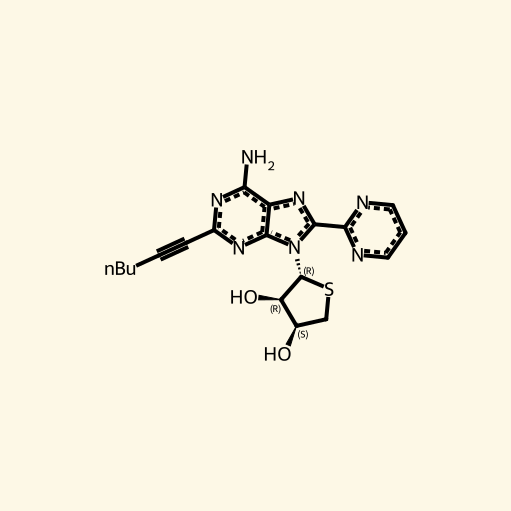 CCCCC#Cc1nc(N)c2nc(-c3ncccn3)n([C@@H]3SC[C@@H](O)[C@H]3O)c2n1